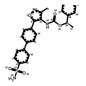 Cc1noc(-c2ccc(-c3ccc(S(N)(=O)=O)cc3)cc2)c1NC(=O)O[C@H](C)c1ccccc1